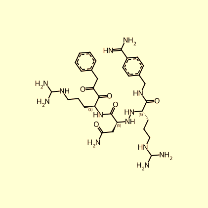 N=C(N)c1ccc(CNC(=O)[C@H](CCCNC(N)N)NN[C@@H](CC(N)=O)C(=O)N[C@@H](CCCNC(N)N)C(=O)C(=O)Cc2ccccc2)cc1